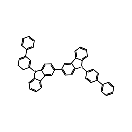 C1=C(c2ccccc2)C=C(n2c3ccccc3c3cc(-c4ccc5c(c4)c4ccccc4n5-c4ccc(-c5ccccc5)cc4)ccc32)CC1